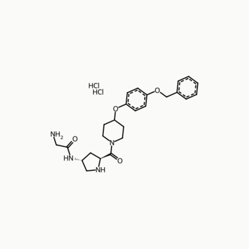 Cl.Cl.NCC(=O)N[C@H]1CN[C@H](C(=O)N2CCC(Oc3ccc(OCc4ccccc4)cc3)CC2)C1